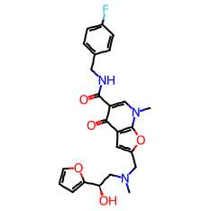 CN(Cc1cc2c(=O)c(C(=O)NCc3ccc(F)cc3)cn(C)c2o1)C[C@@H](O)c1ccco1